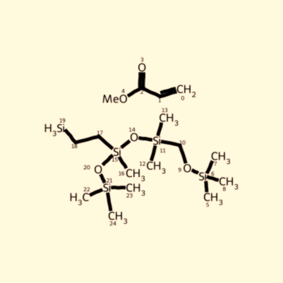 C=CC(=O)OC.C[Si](C)(C)OC[Si](C)(C)O[Si](C)(CC[SiH3])O[Si](C)(C)C